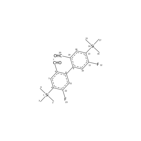 C[Si](C)(C)c1cc(C=O)c(-c2cc(F)c([Si](C)(C)C)cc2C=O)cc1F